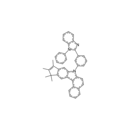 CC1=C(C)C(C)(C)c2cc3c4c5ccccc5ccc4n(-c4cccc(-c5nc6ccccc6n5-c5ccccc5)c4)c3cc21